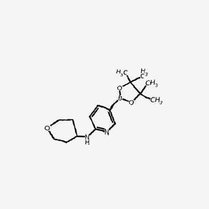 CC1(C)OB(c2ccc(NC3CCOCC3)nc2)OC1(C)C